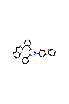 c1ccc(-c2nc(-c3ccc4c(c3)oc3ccccc34)nc(-c3cccc4oc5cc6ccccc6nc5c34)n2)cc1